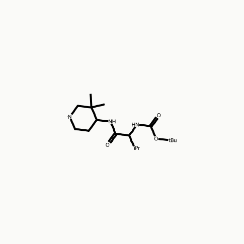 CC(C)C(NC(=O)OC(C)(C)C)C(=O)NC1CC[N]CC1(C)C